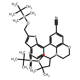 CC1(C)CC(N2CCOc3cc(C#N)cc(-c4ccnc5cc(CO[Si](C)(C)C(C)(C)C)sc45)c32)CN1S(=O)(=O)C(C)(C)C